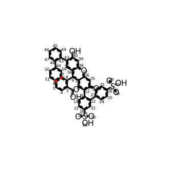 O=C(O)c1ccccc1-c1c2cc(-c3ccc(S(=O)(=O)O)cc3-c3ccc(S(=O)(=O)O)cc3)c(=O)cc-2oc2cc(O)c(-c3ccccc3-c3ccccc3)cc12